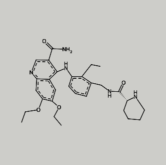 CCOc1cc2ncc(C(N)=O)c(Nc3cccc(CNC(=O)[C@H]4CCCCN4)c3CC)c2cc1OCC